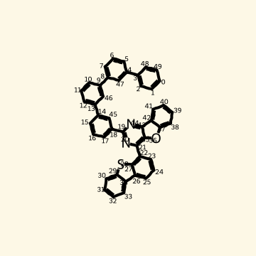 c1ccc(-c2cccc(-c3cccc(-c4cccc(-c5nc(-c6cccc7c6sc6ccccc67)c6oc7ccccc7c6n5)c4)c3)c2)cc1